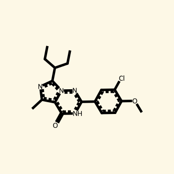 CCC(CC)c1nc(C)c2c(=O)[nH]c(-c3ccc(OC)c(Cl)c3)nn12